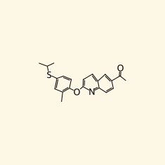 CC(=O)c1ccc2nc(Oc3ccc(SC(C)C)cc3C)ccc2c1